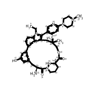 CCn1c(-c2ccc(N3CCN(C)CC3)nc2)c2c3cc(ccc31)-c1cc(O)cc(c1)C[C@H](N)C(=O)N1CCC[C@H](N1)C(=O)OCC(C)(C)C2